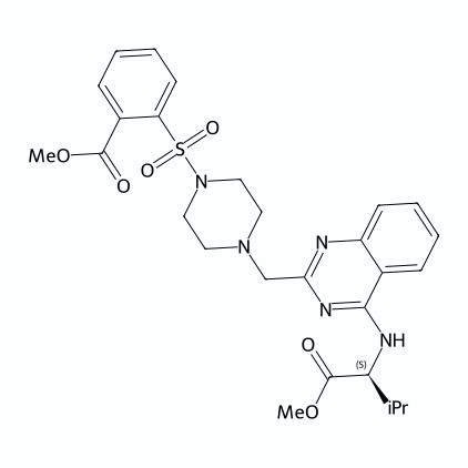 COC(=O)c1ccccc1S(=O)(=O)N1CCN(Cc2nc(N[C@H](C(=O)OC)C(C)C)c3ccccc3n2)CC1